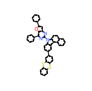 c1ccc(-c2cc3nc(-n4c5ccc(-c6ccc7c(c6)Sc6ccccc6S7)cc5c5c6ccccc6ccc54)nc(-c4ccccc4)c3o2)cc1